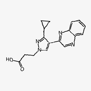 O=C(O)CCn1cc(-c2cnc3ccccc3n2)c(C2CC2)n1